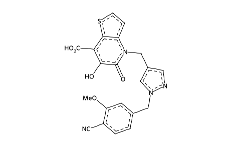 COc1cc(Cn2cc(Cn3c(=O)c(O)c(C(=O)O)c4sccc43)cn2)ccc1C#N